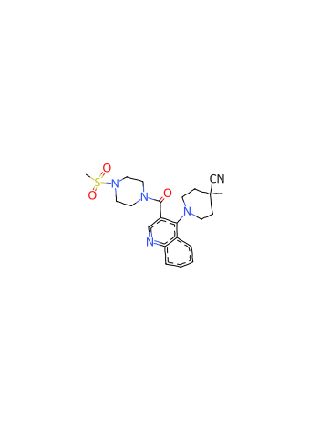 CC1(C#N)CCN(c2c(C(=O)N3CCN(S(C)(=O)=O)CC3)cnc3ccccc23)CC1